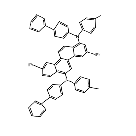 Cc1ccc(N(c2ccc(-c3ccccc3)cc2)c2cc3c4cc(C(C)C)cc(N(c5ccc(C)cc5)c5ccc(-c6ccccc6)cc5)c4ccc3c3cc(C(C)C)ccc23)cc1